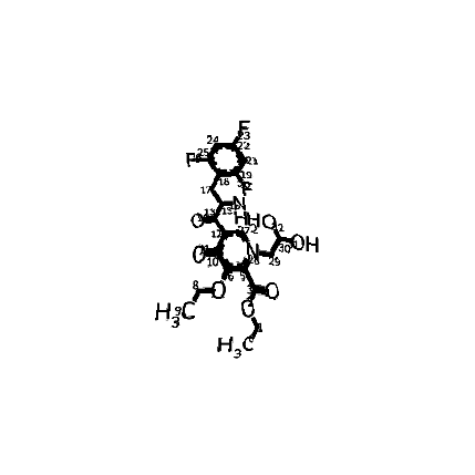 CCOC(=O)c1c(OCC)c(=O)c(C(=O)C(N)Cc2c(F)cc(F)cc2F)cn1CC(O)O